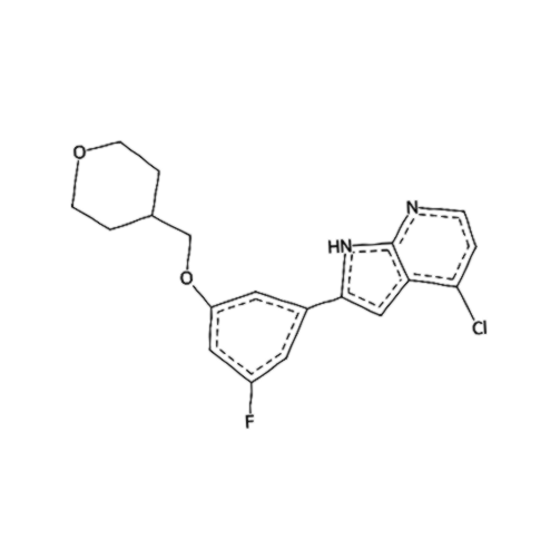 Fc1cc(OCC2CCOCC2)cc(-c2cc3c(Cl)ccnc3[nH]2)c1